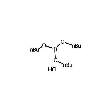 CCCC[O][Ti]([O]CCCC)[O]CCCC.Cl